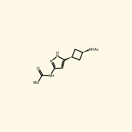 CC(=O)N[C@H]1C[C@@H](c2cc(NC(=O)C(C)(C)C)n[nH]2)C1